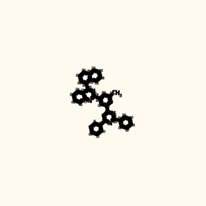 Cc1cc(-c2cc(-c3ccccc3)nc(-c3ccccc3)n2)cc(-c2nc(-c3cccc4ccccc34)c3ccccc3n2)c1